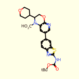 CC(C)(C)OC(=O)Nc1nc2ccc(-c3cnc4c(c3)N(C(=O)O)C(C3CCOCC3)CO4)cc2s1